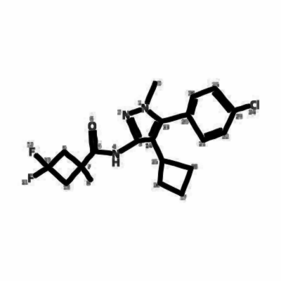 Cn1nc(NC(=O)C2(C)CC(F)(F)C2)c(C2CCC2)c1-c1ccc(Cl)cc1